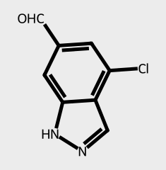 O=Cc1cc(Cl)c2cn[nH]c2c1